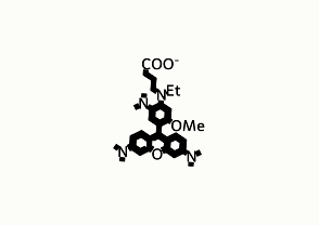 CCN(CCCC(=O)[O-])c1cc(OC)c(-c2c3ccc(=[N+](C)C)cc-3oc3cc(N(C)C)ccc23)cc1N(C)C